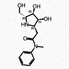 CN(C(=O)C[C@H]1N[C@H](CO)[C@@H](O)[C@H]1O)c1ccccc1